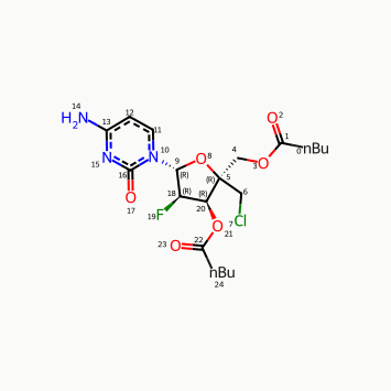 CCCCC(=O)OC[C@@]1(CCl)O[C@@H](n2ccc(N)nc2=O)[C@H](F)[C@@H]1OC(=O)CCCC